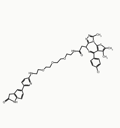 Cc1sc2c(c1C)C(c1ccc(Cl)cc1)=NC(CC(=O)NCCOCCOCCOCCNc1ccc(-c3ccc4c(c3)CC(=O)N4)cn1)c1nnc(C)n1-2